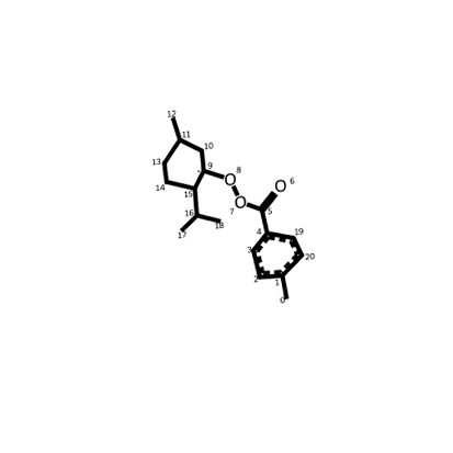 Cc1ccc(C(=O)OO[C]2CC(C)CCC2C(C)C)cc1